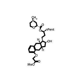 CCCCC[C@@H](CC[C@@H]1[C@H]2Cc3cccc(OCC(=O)OC)c3C[C@H]2C[C@H]1O)OC(=O)[C@H]1CN(C)CCO1